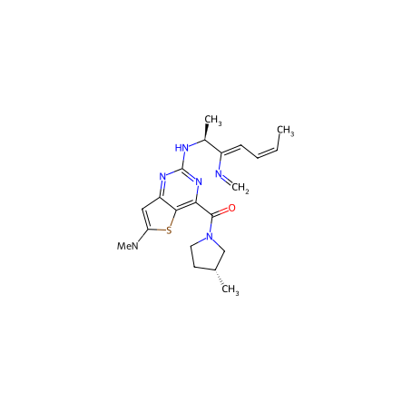 C=N/C(=C\C=C/C)[C@H](C)Nc1nc(C(=O)N2CC[C@@H](C)C2)c2sc(NC)cc2n1